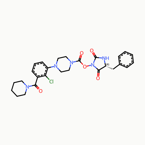 O=C(ON1C(=O)N[C@H](Cc2ccccc2)C1=O)N1CCN(c2cccc(C(=O)N3CCCCC3)c2Cl)CC1